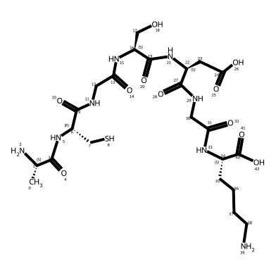 C[C@H](N)C(=O)N[C@@H](CS)C(=O)NCC(=O)N[C@@H](CO)C(=O)N[C@@H](CC(=O)O)C(=O)NCC(=O)N[C@@H](CCCCN)C(=O)O